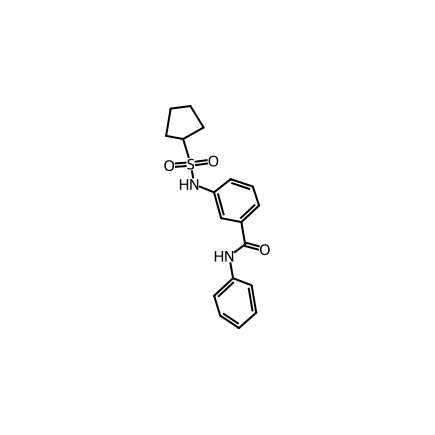 O=C(Nc1ccccc1)c1cccc(NS(=O)(=O)C2CCCC2)c1